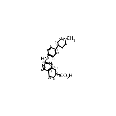 CN1CCC(c2ccc(Nc3ncc4c(n3)CN(C(=O)O)CC4)cc2)CC1